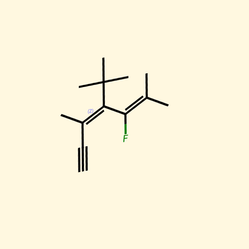 C#C/C(C)=C(\C(F)=C(C)C)C(C)(C)C